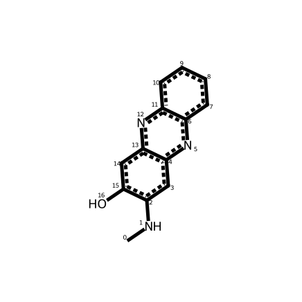 CNc1cc2nc3ccccc3nc2cc1O